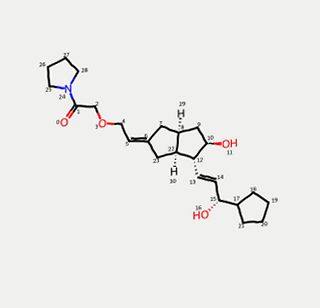 O=C(COC/C=C1\C[C@H]2C[C@@H](O)[C@H](/C=C/[C@@H](O)C3CCCC3)[C@H]2C1)N1CCCC1